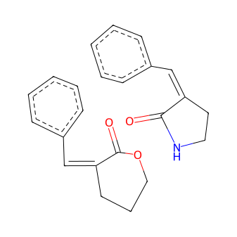 O=C1NCCC1=Cc1ccccc1.O=C1OCCCC1=Cc1ccccc1